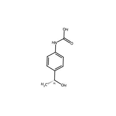 C[C@@H](O)c1ccc(NC(=O)O)cc1